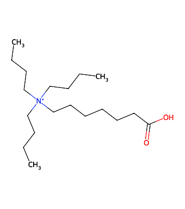 CCCC[N+](CCCC)(CCCC)CCCCCCC(=O)O